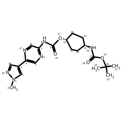 Cn1cc(-c2cnc(NC(=O)O[C@H]3CC[C@H](NC(=O)OC(C)(C)C)CC3)cn2)cn1